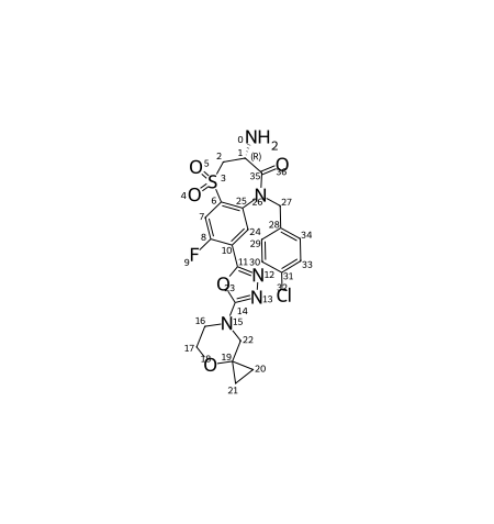 N[C@H]1CS(=O)(=O)c2cc(F)c(-c3nnc(N4CCOC5(CC5)C4)o3)cc2N(Cc2ccc(Cl)cc2)C1=O